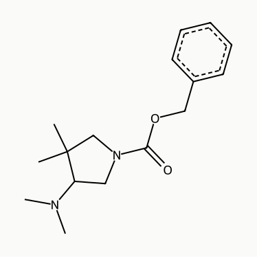 CN(C)C1CN(C(=O)OCc2ccccc2)CC1(C)C